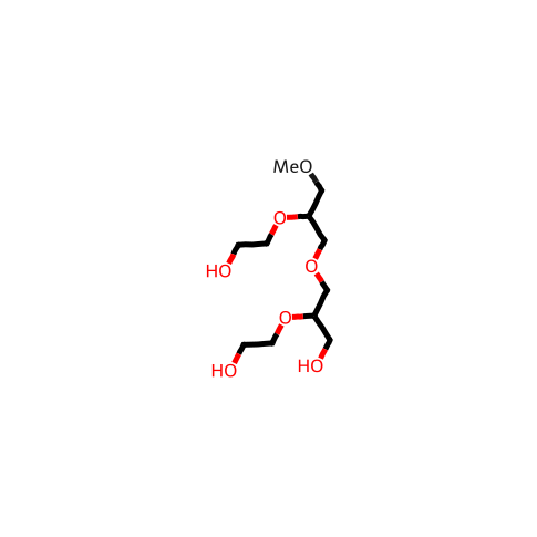 COCC(COCC(CO)OCCO)OCCO